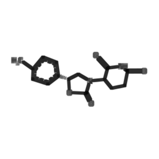 Cc1ccc([C@@H]2CN(C3CCC(=O)NC3=O)C(=O)O2)cc1